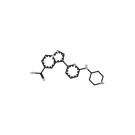 O=C(O)c1ccn2ncc(-c3cccc(NC4CCNCC4)n3)c2c1